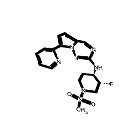 CS(=O)(=O)N1CC[C@@H](Nc2ncc3ccc(-c4ccccn4)n3n2)[C@H](F)C1